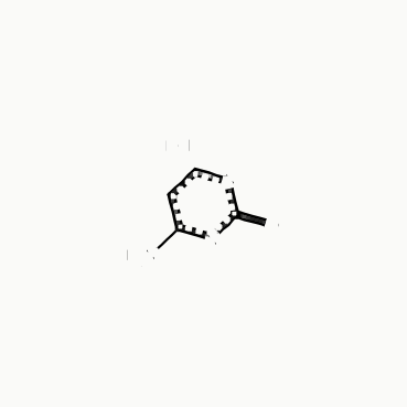 Cl.Nc1cc[nH]c(=O)n1